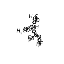 CCS(=O)(=O)c1ccc([C@H](C/C=C/C(=O)OC)NC(=O)c2ccc(N3C[C@@H](Oc4ccc(C(F)(F)F)cc4)C[C@H]3COC(F)F)cc2)cc1